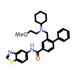 COCCN(Cc1cc(C(=O)Nc2ccc3scnc3c2)ccc1-c1ccccc1)C1CCCCC1